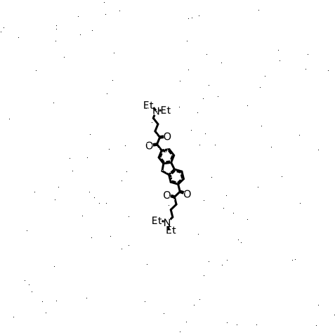 CCN(CC)CCCC(=O)C(=O)c1ccc2c(c1)Cc1cc(C(=O)C(=O)CCCN(CC)CC)ccc1-2